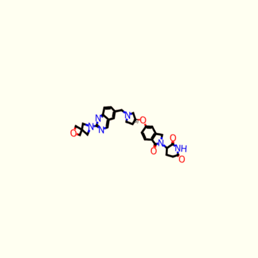 O=C1CCC(N2Cc3cc(O[C@H]4CCN(Cc5ccc6nc(N7CC8(COC8)C7)ncc6c5)C4)ccc3C2=O)C(=O)N1